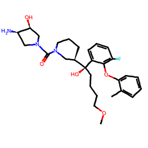 COCCCC[C@@](O)(c1cccc(F)c1Oc1ccccc1C)[C@@H]1CCCN(C(=O)N2C[C@@H](N)[C@@H](O)C2)C1